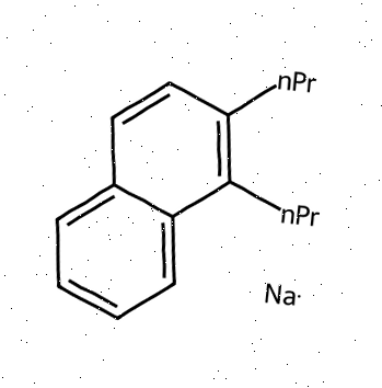 CCCc1ccc2ccccc2c1CCC.[Na]